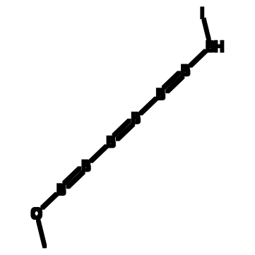 COB=BB=BB=BBI